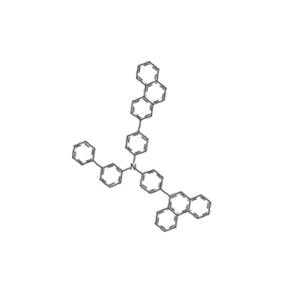 c1ccc(-c2cccc(N(c3ccc(-c4ccc5c(ccc6ccccc65)c4)cc3)c3ccc(-c4cc5ccccc5c5ccccc45)cc3)c2)cc1